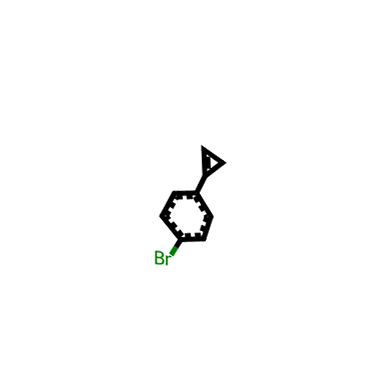 Brc1ccc(C2=CC2)cc1